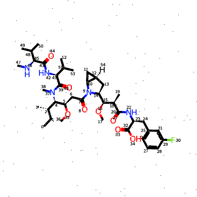 CC[C@H](C)[C@@H]([C@@H](CC(=O)N1C2C[C@H]2C[C@H]1[C@H](OC)[C@@H](C)C(=O)N[C@@H](Cc1cccc(F)c1)C(=O)O)OC)N(C)C(=O)[C@@H](NC(=O)[C@@H](NC)C(C)C)C(C)C